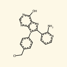 Nc1ncccc1-c1nc2c(O)ncnc2n1-c1ccc(CCl)cc1